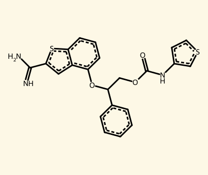 N=C(N)c1cc2c(OC(COC(=O)Nc3ccsc3)c3ccccc3)cccc2s1